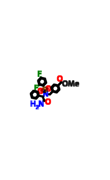 COC(=O)c1ccc(CN([C@@H](C(N)=O)c2ccccc2)S(=O)(=O)c2ccc(F)cc2F)cc1